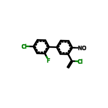 C=C(Cl)c1cc(-c2ccc(Cl)cc2F)ccc1N=O